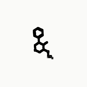 CC1C(O[N+](=O)[O-])COCC1c1ccccc1